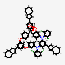 Fc1cccc(F)c1N1c2cc3c(cc2B2c4cc5c(cc4N(c4c(F)cccc4F)c4cc(C6CC7CCCCCC7C6)cc1c42)Oc1cc(C2CC4CCCCCC4C2)cc2c1B5c1ccccc1O2)B1c2ccccc2Oc2cc(C4CC5CCCCCC5C4)cc(c21)O3